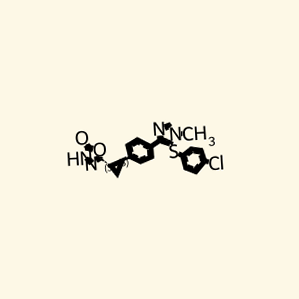 Cn1cnc(-c2ccc([C@H]3C[C@@H]3c3n[nH]c(=O)o3)cc2)c1Sc1ccc(Cl)cc1